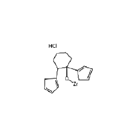 Cl.[Zr][O]C1(C2=CC=CC2)CCCCC1C1=CC=CC1